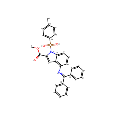 COC(=O)c1cc2c(N=C(c3ccccc3)c3ccccc3)cccc2n1S(=O)(=O)c1ccc(C)cc1